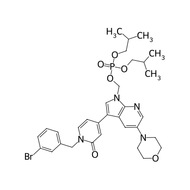 CC(C)COP(=O)(OCC(C)C)OCn1cc(-c2ccn(Cc3cccc(Br)c3)c(=O)c2)c2cc(N3CCOCC3)cnc21